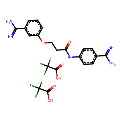 N=C(N)c1ccc(NC(=O)CCOc2cccc(C(=N)N)c2)cc1.O=C(O)C(F)(F)F.O=C(O)C(F)(F)F